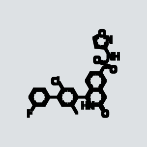 Cc1cc(-c2cccc(F)c2)c(Cl)cc1-c1[nH]c(=O)cc2cc(S(=O)(=O)Nc3ccon3)ccc12